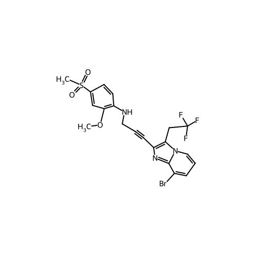 COc1cc(S(C)(=O)=O)ccc1NCC#Cc1nc2c(Br)cccn2c1CC(F)(F)F